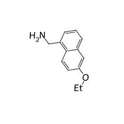 CCOc1ccc2c(CN)cccc2c1